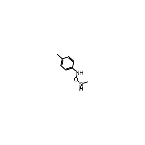 Cc1ccc(NO[SiH](C)C)cc1